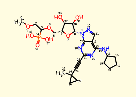 COCC(OC[C@H]1O[C@@H](n2ncc3c(NC4CCCC4)nc(C#CC4(C)CC4)nc32)[C@H](O)[C@@H]1O)P(=O)(O)O